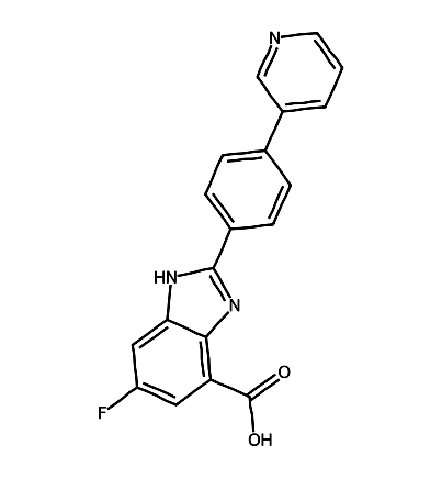 O=C(O)c1cc(F)cc2[nH]c(-c3ccc(-c4cccnc4)cc3)nc12